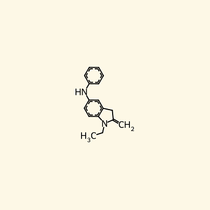 C=C1Cc2cc(Nc3ccccc3)ccc2N1CC